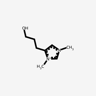 Cn1cc(CCCO)[n+](C)c1